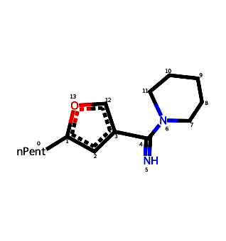 CCCCCc1cc(C(=N)N2CCCCC2)co1